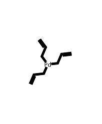 C=C[CH2][Pd]([CH2]C=C)[CH2]C=C